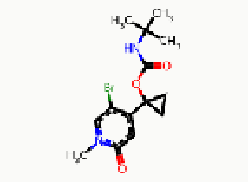 Cn1cc(Br)c(C2(OC(=O)NC(C)(C)C)CC2)cc1=O